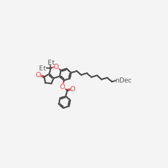 CCCCCCCCCCCCCCCCCCc1cc(OC(=O)c2ccccc2)c2c(c1)OC(CC)(CC)C1=C2CCC1=O